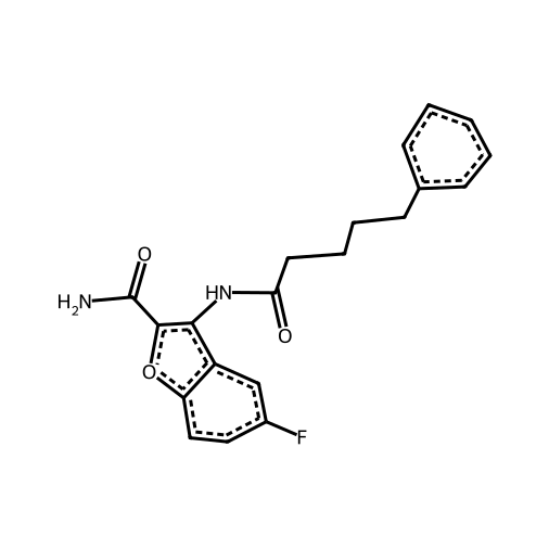 NC(=O)c1oc2ccc(F)cc2c1NC(=O)CCCCc1ccccc1